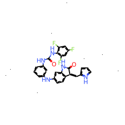 O=C(Nc1cccc(Nc2ccc3c(c2)NC(=O)/C3=C\c2ccc[nH]2)c1)Nc1c(F)cc(F)cc1F